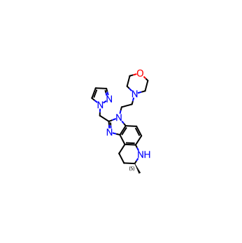 C[C@H]1CCc2c(ccc3c2nc(Cn2cccn2)n3CCN2CCOCC2)N1